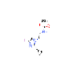 CC(C)(C)OC(=O)NCCn1cc(I)nc1C1CC1